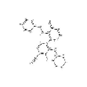 Cc1c(C#N)ccc(-c2occc(=O)c2OCc2ccccc2)c1OC1CCCCO1